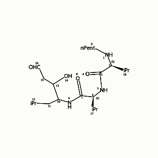 CCCCCN[C@H](C(=O)N[C@H](C(=O)NC(CC(C)C)C(O)C[C]=O)C(C)C)C(C)C